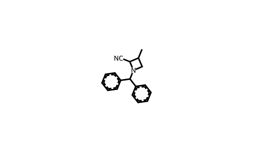 CC1CN(C(c2ccccc2)c2ccccc2)C1C#N